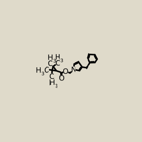 CC1(C)C(C(=O)OCn2ccc(Cc3ccccc3)c2)C1(C)C